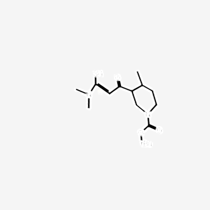 CC1CCN(C(=O)OC(C)(C)C)CC1C(=O)/C=C(\S)N(C)C